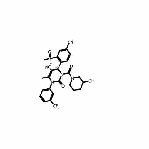 CC1=C(C#N)[C@@H](c2ccc(C#N)cc2S(C)(=O)=O)N(C(=O)N2CCCC(O)C2)C(=O)N1c1cccc(C(F)(F)F)c1